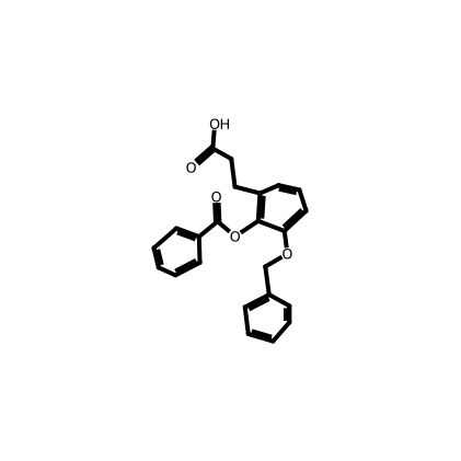 O=C(O)CCc1cccc(OCc2ccccc2)c1OC(=O)c1ccccc1